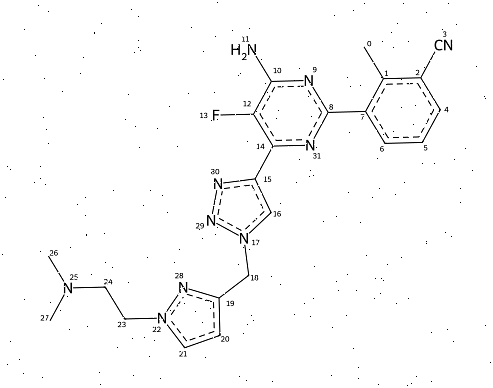 Cc1c(C#N)cccc1-c1nc(N)c(F)c(-c2cn(Cc3ccn(CCN(C)C)n3)nn2)n1